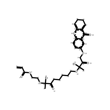 C=CC(=O)OCCOC(C)(CC)C(=O)CCCCCOC(C)(CC)C(=O)COc1ccc2sc3c(c(=O)c2c1)=CCCC=3